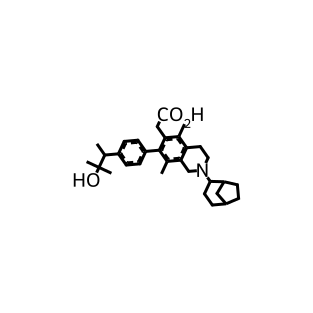 Cc1c2c(c(C)c(-c3ccc(C(C)C(C)(C)O)cc3)c1CC(=O)O)CN(C1CCC3CCC1C3)CC2